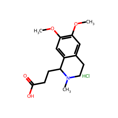 COc1cc2c(cc1OC)C(CCC(=O)O)N(C)CC2.Cl